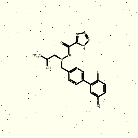 O=C(NN(Cc1ccc(-c2cc(Cl)ccc2F)cc1)CC(O)C(=O)O)c1nnn[nH]1